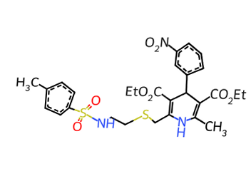 CCOC(=O)C1=C(C)NC(CSCCNS(=O)(=O)c2ccc(C)cc2)=C(C(=O)OCC)C1c1cccc([N+](=O)[O-])c1